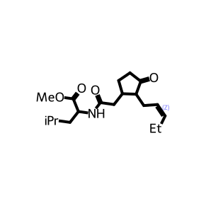 CC/C=C\CC1C(=O)CCC1CC(=O)NC(CC(C)C)C(=O)OC